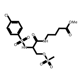 COC(=O)CCCNC(=O)C(COS(C)(=O)=O)NS(=O)(=O)c1ccc(Cl)cc1